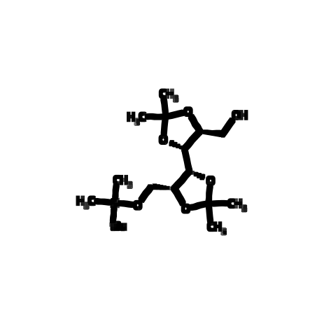 CC1(C)O[C@@H]([C@@H]2OC(C)(C)O[C@@H]2CO[Si](C)(C)C(C)(C)C)[C@H](CO)O1